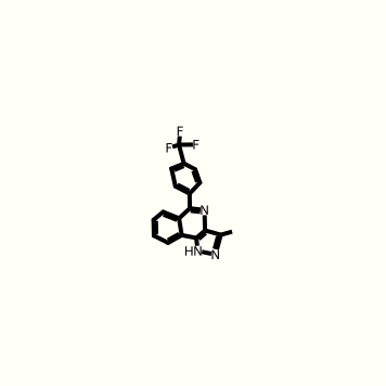 Cc1n[nH]c2c1nc(-c1ccc(C(F)(F)F)cc1)c1ccccc12